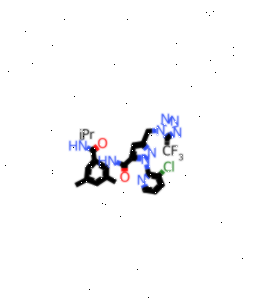 Cc1cc(C)c(NC(=O)c2cc(Cn3nnnc3C(F)(F)F)nn2-c2ncccc2Cl)c(C(=O)NC(C)C)c1